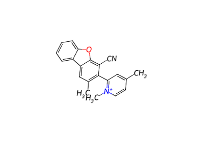 Cc1cc[n+](C)c(-c2c(C)cc3c(oc4ccccc43)c2C#N)c1